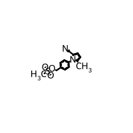 Cc1ccc(C#N)n1-c1ccc(COS(C)(=O)=O)cc1